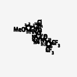 COc1ccc(CN(NC(=O)c2nccnc2C(C)N(C)C(=O)c2cc(C(F)(F)F)cc(C(F)(F)F)c2)C(=O)C(C)(C)Cl)cc1